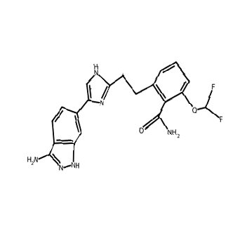 NC(=O)c1c(C[CH]c2nc(-c3ccc4c(N)n[nH]c4c3)c[nH]2)cccc1OC(F)F